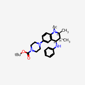 CC(=O)N1c2ccc(N3CCN(C(=O)OC(C)(C)C)CC3)cc2[C@H](Nc2ccccc2)[C@@H](C)[C@@H]1C